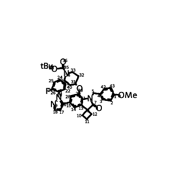 COc1ccc(CN2C(=O)C3(CCC3)c3cc(-c4ccnn4-c4ccccc4F)cc(OC4CCN(C(=O)OC(C)(C)C)CC4)c32)cc1